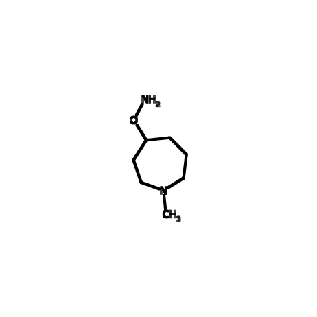 CN1CCCC(ON)CC1